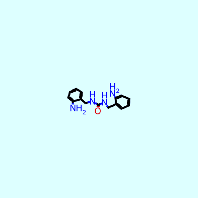 Nc1ccccc1CNC(=O)NCc1ccccc1N